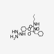 CCCCNC(=O)N(OC)[C@@H](Cc1ccccc1)C(=O)Oc1cccc(NC(=N)N)c1